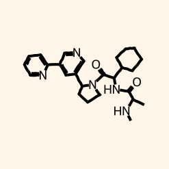 CNC(C)C(=O)NC(C(=O)N1CCCC1c1cncc(-c2ccccn2)c1)C1CCCCC1